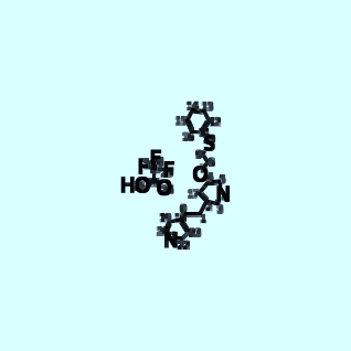 C(=Cc1cncc(OCCSc2ccccc2)c1)c1ccncc1.O=C(O)C(F)(F)F